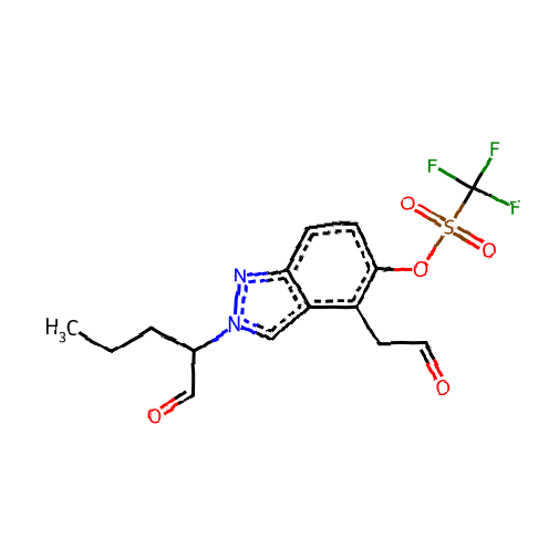 CCCC(C=O)n1cc2c(CC=O)c(OS(=O)(=O)C(F)(F)F)ccc2n1